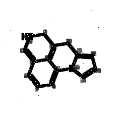 C1=c2cccc3c2=C(CN1)Cc1cccn1-3